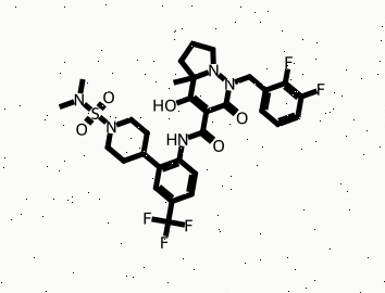 CN(C)S(=O)(=O)N1CCC(c2cc(C(F)(F)F)ccc2NC(=O)C2=C(O)C3(C)CCCN3N(Cc3cccc(F)c3F)C2=O)CC1